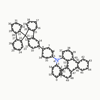 c1ccc(N(c2ccc(-c3ccc4c(c3)-c3ccccc3C43c4ccccc4-c4ccccc43)cc2)c2cccc3c4ccccc4c4ccccc4c23)cc1